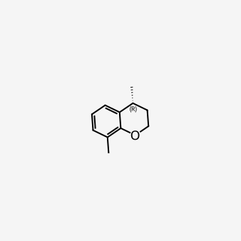 Cc1cccc2c1OCC[C@H]2C